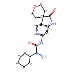 N[C@H](C(=O)Nc1cc2c(cn1)C1(CCOCC1)C(=O)N2)C1CCCCC1